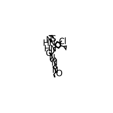 C=CC(=O)N1CC(N2CCN(C(=O)CNc3cc(C4CC4)c(Cl)cc3Nc3nccs3)CC2)C1